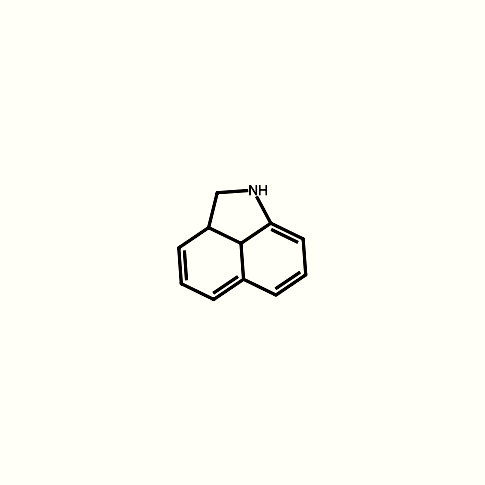 C1=CC2=CC=CC3CNC(=C1)C23